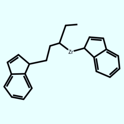 CC[CH](CCC1C=Cc2ccccc21)[Zr][CH]1C=Cc2ccccc21